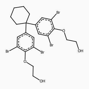 OCCOc1c(Br)cc(C2(c3cc(Br)c(OCCO)c(Br)c3)CCCCC2)cc1Br